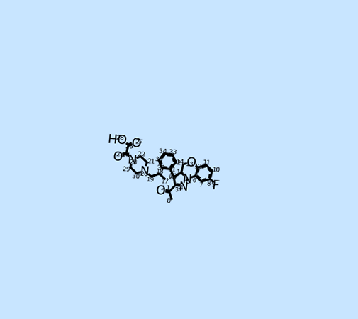 CC(=O)C1=NN2c3cc(F)ccc3OCC2[C@]1(CCCN1CCN(C(=O)C(=O)O)CC1)c1ccccc1